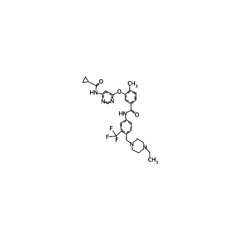 CCN1CCN(Cc2ccc(NC(=O)c3ccc(C)c(Oc4cc(NC(=O)C5CC5)ncn4)c3)cc2C(F)(F)F)CC1